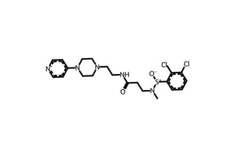 CN(CCC(=O)NCCN1CCN(c2ccncc2)CC1)[S+]([O-])c1cccc(Cl)c1Cl